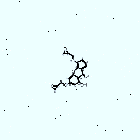 O=c1c2cccc(OCC3CO3)c2oc2cc(OCC3CO3)cc(O)c12